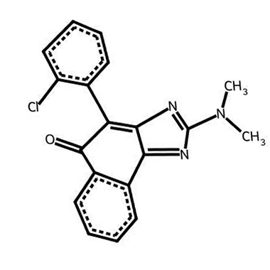 CN(C)C1=NC2=C(c3ccccc3Cl)C(=O)c3ccccc3C2=N1